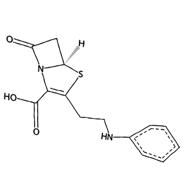 O=C(O)C1=C(CCNc2ccccc2)S[C@@H]2CC(=O)N12